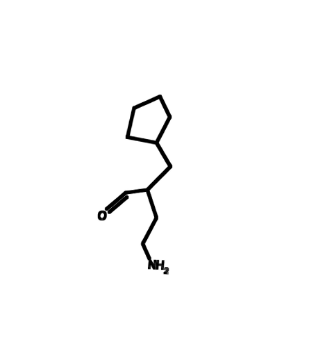 NCCC(C=O)CC1CCCC1